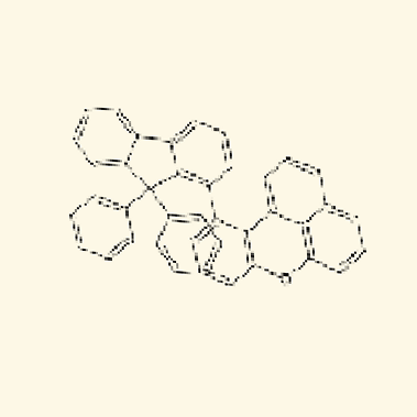 c1ccc(C2(c3ccccc3)c3ccccc3-c3cccc(-c4cccc5c4-c4cccc6cccc(c46)O5)c32)cc1